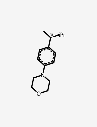 CC(C)[C@H](C)c1ccc(N2CCOCC2)cc1